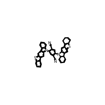 N#Cc1cc(-n2c3ccccc3c3cc4sc5ccccc5c4cc32)c(C#N)cc1N1c2cc3c4c(sc3cc2C2C=CC=CC21)C=CCC4